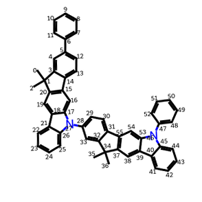 CC1(C)c2cc(-c3ccccc3)ccc2-c2cc3c(cc21)c1ccccc1n3-c1ccc2c(c1)C(C)(C)c1cc3c4ccccc4n(-c4ccccc4)c3cc1-2